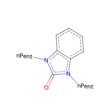 CCCCCn1c(=O)n(CCCCC)c2ccccc21